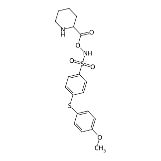 COc1ccc(Sc2ccc(S(=O)(=O)NOC(=O)C3CCCCN3)cc2)cc1